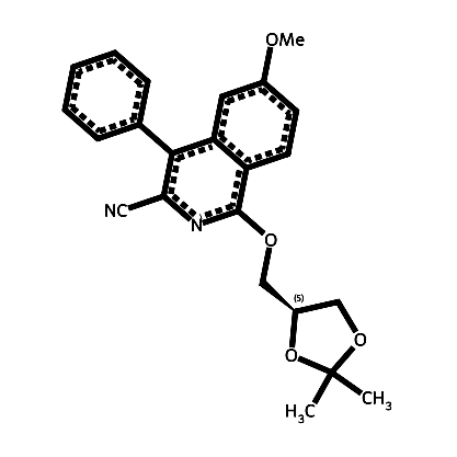 COc1ccc2c(OC[C@H]3COC(C)(C)O3)nc(C#N)c(-c3ccccc3)c2c1